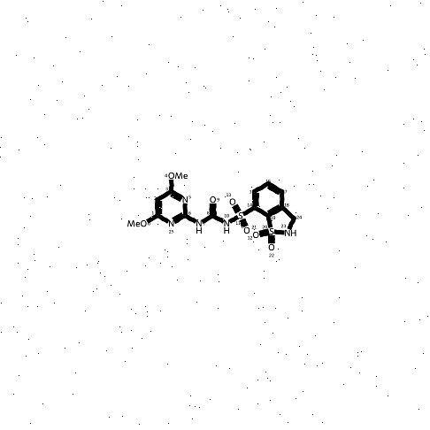 COc1cc(OC)nc(NC(=O)NS(=O)(=O)c2cccc3c2S(=O)(=O)NC3)n1